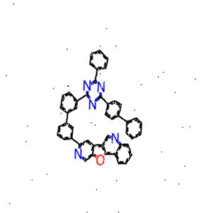 c1ccc(-c2ccc(-c3nc(-c4ccccc4)nc(-c4cccc(-c5cccc(-c6cc7c(cn6)oc6c8ccccc8ncc76)c5)c4)n3)cc2)cc1